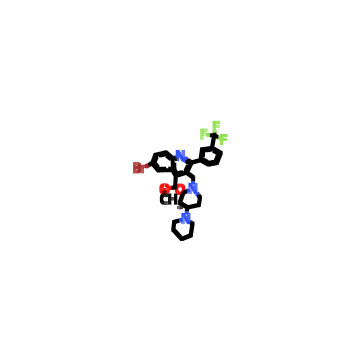 COC(=O)c1c(CN2CCC(N3CCCCC3)CC2)c(-c2cccc(C(F)(F)F)c2)nc2ccc(Br)cc12